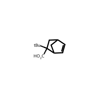 CC(C)(C)C1(C(=O)O)CC2C=CC1C2